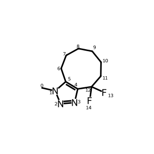 Cn1nnc2c1CCCCCCC2(F)F